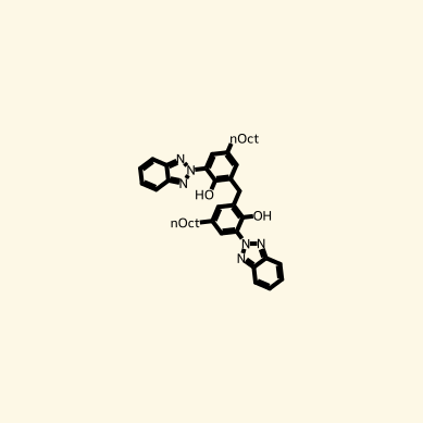 CCCCCCCCc1cc(Cc2cc(CCCCCCCC)cc(-n3nc4ccccc4n3)c2O)c(O)c(-n2nc3ccccc3n2)c1